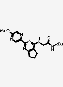 COc1cnc(-c2nc3c(c(N(C)CC(=O)NC(C)(C)C)n2)CCC3)cn1